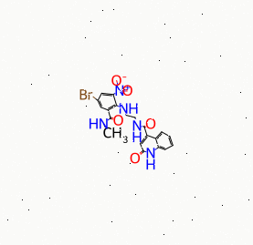 CNC(=O)c1cc(Br)cc([N+](=O)[O-])c1NCCNC(=O)c1cc(=O)[nH]c2ccccc12